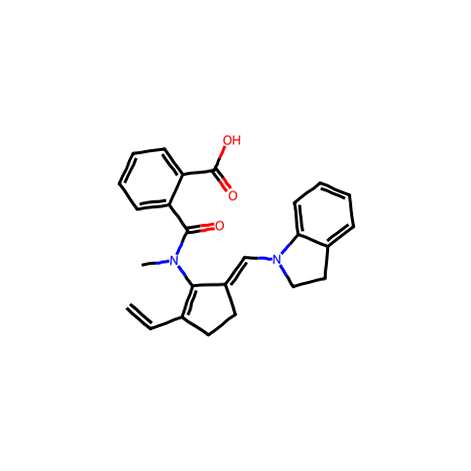 C=CC1=C(N(C)C(=O)c2ccccc2C(=O)O)/C(=C/N2CCc3ccccc32)CC1